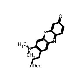 CCCCCCCCCCCCc1cc2nc3ccc(=O)cc-3sc2cc1N(C)C